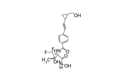 C[C@@](O)(C(F)F)[C@H](NC(=O)c1ccc(C#CC2CC2CO)cc1)C(=O)NO